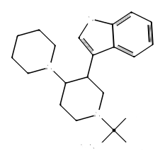 CC(=O)NC(C)(C(=O)O)N1CCC(N2CCCCC2)C(c2c[nH]c3ccccc23)C1